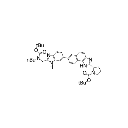 CCCCN(Cc1nc2ccc(-c3ccc4c(ccc5nc([C@@H]6CCCN6C(=O)OC(C)(C)C)[nH]c54)c3)cc2[nH]1)C(=O)OC(C)(C)C